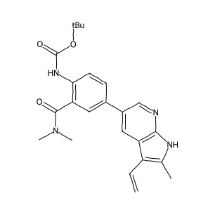 C=Cc1c(C)[nH]c2ncc(-c3ccc(NC(=O)OC(C)(C)C)c(C(=O)N(C)C)c3)cc12